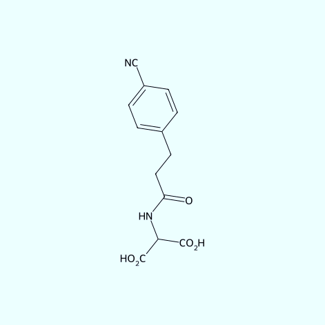 N#Cc1ccc(CCC(=O)NC(C(=O)O)C(=O)O)cc1